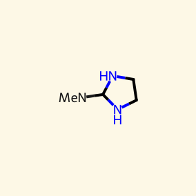 CNC1NCCN1